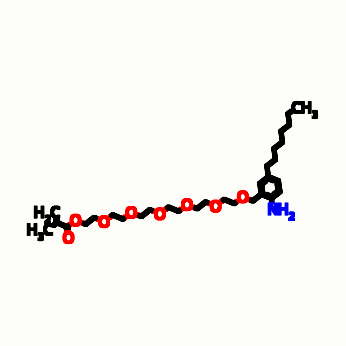 C=C(C)C(=O)OCCOCCOCCOCCOCCOCCOCc1cc(CCCCCCCC)ccc1N